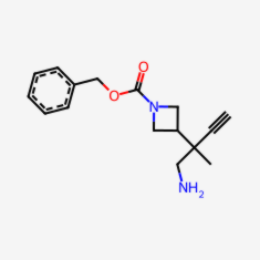 C#CC(C)(CN)C1CN(C(=O)OCc2ccccc2)C1